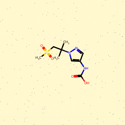 CC(C)(CS(C)(=O)=O)n1cc(NC(=O)O)cn1